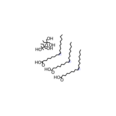 CCC(CO)(CO)OC(CC)(CO)C(C)(C)O.CCCCCCCC/C=C\CCCCCCCC(=O)O.CCCCCCCC/C=C\CCCCCCCC(=O)O.CCCCCCCC/C=C\CCCCCCCC(=O)O